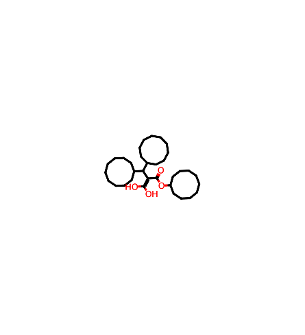 O=C(OC1CCCCCCCCC1)C(=C(O)O)C(C1CCCCCCCCC1)C1CCCCCCCCC1